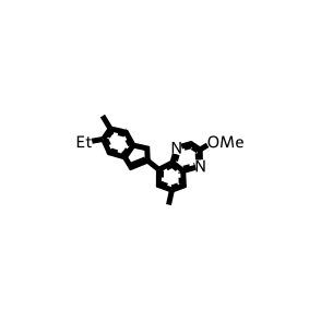 CCc1cc2c(cc1C)CC(c1cc(C)cc3nc(OC)cnc13)=C2